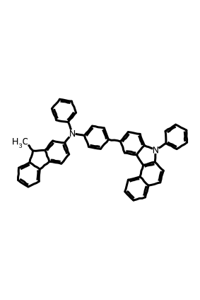 CC1c2ccccc2-c2ccc(N(c3ccccc3)c3ccc(-c4ccc5c(c4)c4c6ccccc6ccc4n5-c4ccccc4)cc3)cc21